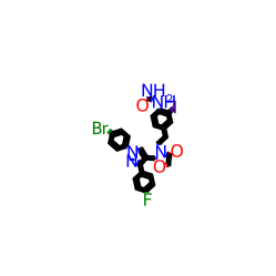 NC(=O)Nc1ccc(CCN2C(=O)COC2c2cn(-c3ccc(Br)cc3)nc2-c2ccc(F)cc2)cc1I